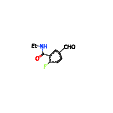 CCNC(=O)c1cc(C=O)ccc1F